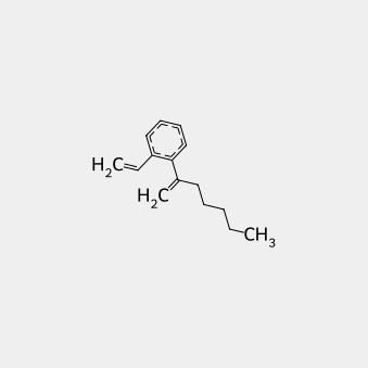 C=Cc1ccccc1C(=C)CCCCC